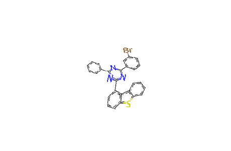 Brc1cccc(-c2nc(-c3ccccc3)nc(-c3cccc4sc5ccccc5c34)n2)c1